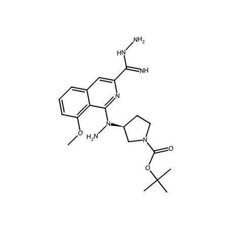 COc1cccc2cc(C(=N)NN)nc(N(N)[C@H]3CCN(C(=O)OC(C)(C)C)C3)c12